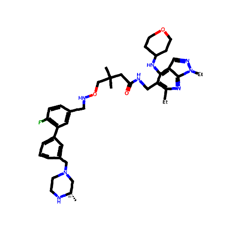 CCc1nc2c(cnn2CC)c(NC2CCOCC2)c1CNC(=O)CC(C)(C)CONCc1ccc(F)c(-c2cccc(CN3CCN[C@@H](C)C3)c2)c1